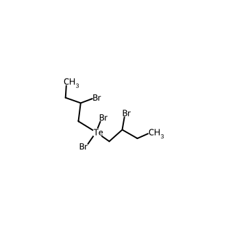 CCC(Br)C[Te](Br)(Br)CC(Br)CC